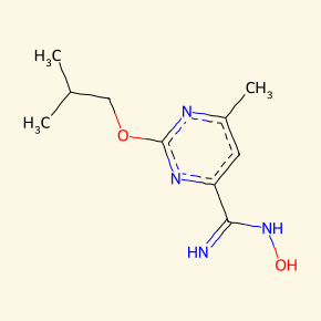 Cc1cc(C(=N)NO)nc(OCC(C)C)n1